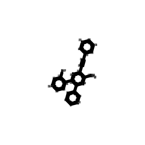 Nc1nc(-c2cccnc2)c(-c2ccncc2F)nc1C#Cc1cccnc1